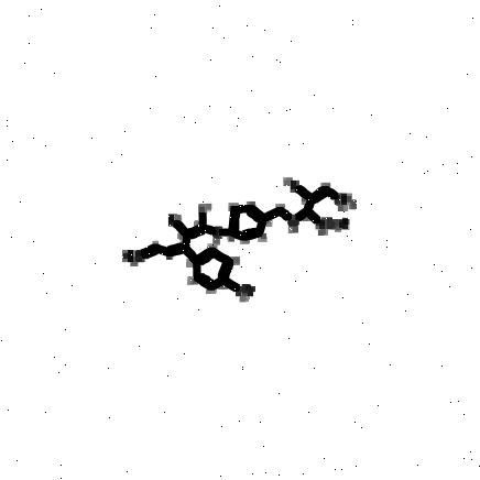 C=C/C=C(\C(F)=C(\F)Cc1ccc(COC(CCCCCCC)/C(F)=C\C)cc1)c1ccc(CCC)cc1